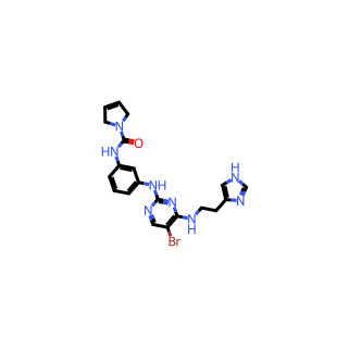 O=C(Nc1cccc(Nc2ncc(Br)c(NCCc3c[nH]cn3)n2)c1)N1CC=CC1